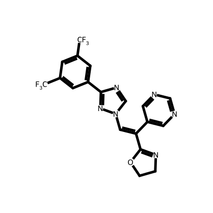 FC(F)(F)c1cc(-c2ncn(/C=C(/C3=NCCO3)c3cncnc3)n2)cc(C(F)(F)F)c1